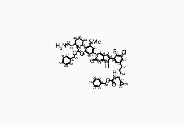 CSc1cc(-n2cc3cc(-c4cc(CCC[C@@H](NC(=O)OCc5ccccc5)C5CC5)cc(Cl)c4F)[nH]c3nc2=O)ccc1[C@@H]1CCC[C@@H](CCN)N1C(=O)OCc1ccccc1